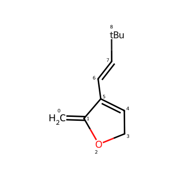 C=C1OCC=C1/C=C/C(C)(C)C